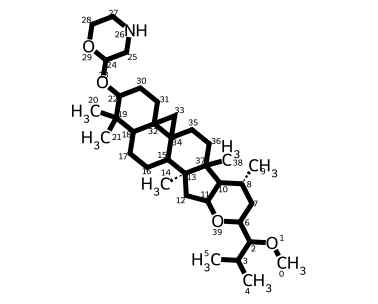 COC(C(C)C)C1C[C@@H](C)C2C(C[C@@]3(C)C4CCC5C(C)(C)C(OC6CNCCO6)CCC56CC46CCC23C)O1